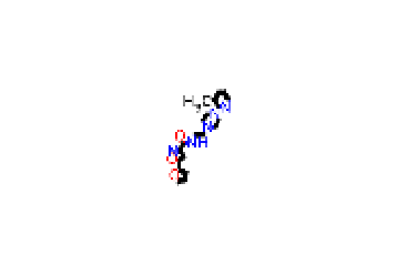 Cc1cccnc1N1CCN(CCNC(=O)c2cc(-c3ccco3)on2)CC1